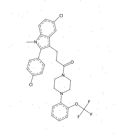 Cn1c(-c2ccc(Cl)cc2)c(CCC(=O)N2CCN(c3ccccc3OC(F)(F)F)CC2)c2cc(Cl)ccc21